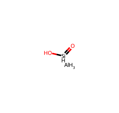 O=[SiH]O.[AlH3]